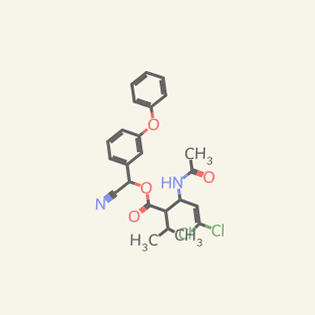 CC(=O)NC(C=C(Cl)Cl)C(C(=O)OC(C#N)c1cccc(Oc2ccccc2)c1)C(C)C